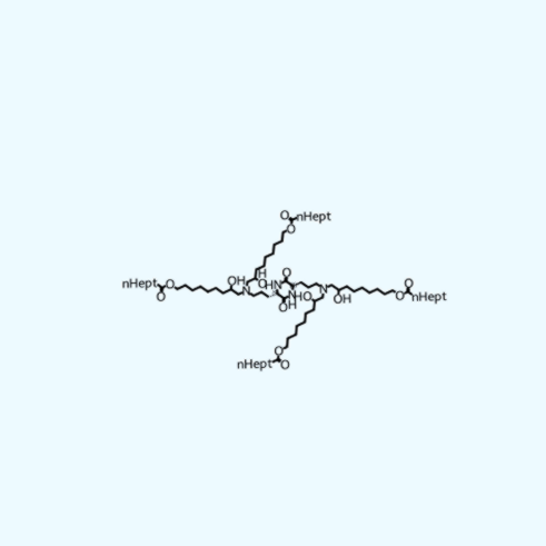 CCCCCCCC(=O)OCCCCCCCC(O)CN(CCC[C@@H]1NC(=O)[C@@H](CCCN(CC(O)CCCCCCCOC(=O)CCCCCCC)CC(O)CCCCCCCOC(=O)CCCCCCC)NC1=O)CC(O)CCCCCCCOC(=O)CCCCCCC